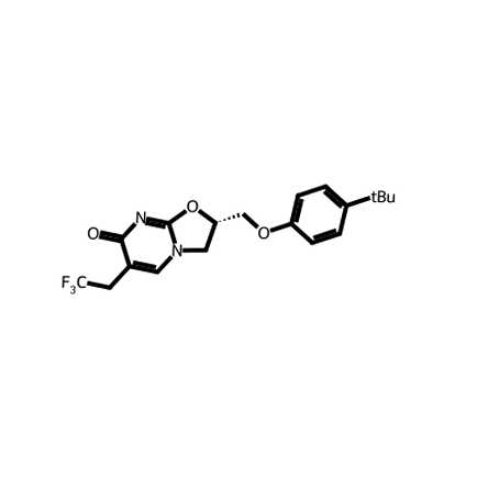 CC(C)(C)c1ccc(OC[C@@H]2Cn3cc(CC(F)(F)F)c(=O)nc3O2)cc1